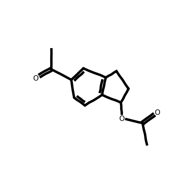 CC(=O)OC1CCc2cc(C(C)=O)ccc21